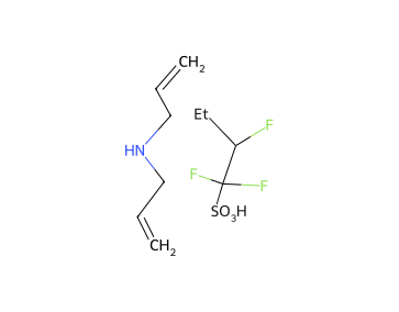 C=CCNCC=C.CCC(F)C(F)(F)S(=O)(=O)O